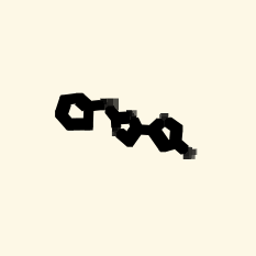 Brc1csc(-c2csc(Nc3ccccc3)n2)c1